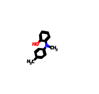 Cc1ccc(N(C)c2ccccc2O)cc1